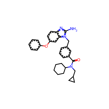 Nc1nc2ccc(Oc3ccccc3)cc2n1Cc1cccc(C(=O)N(CC2CC2)C2CCCCC2)c1